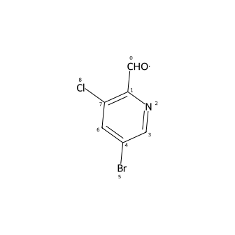 O=[C]c1ncc(Br)cc1Cl